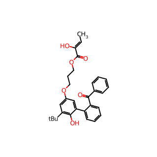 CC=C(O)C(=O)OCCCOc1cc(-c2ccccc2C(=O)c2ccccc2)c(O)c(C(C)(C)C)c1